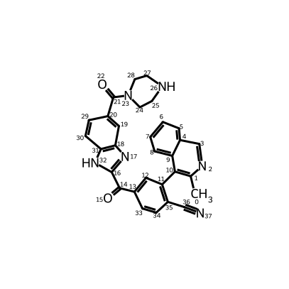 Cc1ncc2ccccc2c1-c1cc(C(=O)c2nc3cc(C(=O)N4CCNCC4)ccc3[nH]2)ccc1C#N